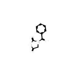 O=C1CN(C(=O)c2ccccc2)C(=O)O1